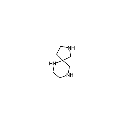 C1CNC2(CCNC2)CN1